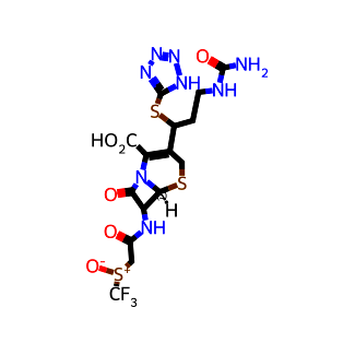 NC(=O)NCCC(Sc1nnn[nH]1)C1=C(C(=O)O)N2C(=O)C(NC(=O)C[S+]([O-])C(F)(F)F)[C@@H]2SC1